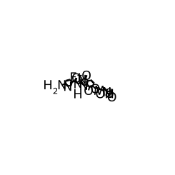 CCn1c(NC(=O)c2ccc(N)nc2)nc2c(OC)c(OC[C@@H](O)CN3CCOCC3)ccc2c1=O